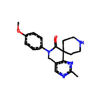 COc1ccc(N2Cc3cnc(C)nc3C3(CCNCC3)C2=O)cc1